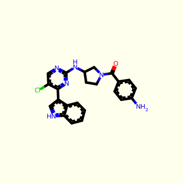 Nc1ccc(C(=O)N2CCC(Nc3ncc(Cl)c(-c4c[nH]c5ccccc45)n3)C2)cc1